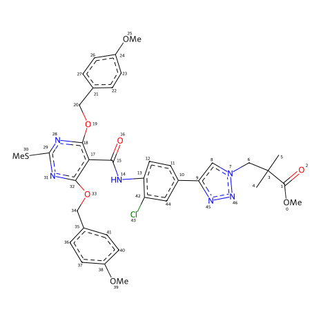 COC(=O)C(C)(C)Cn1cc(-c2ccc(NC(=O)c3c(OCc4ccc(OC)cc4)nc(SC)nc3OCc3ccc(OC)cc3)c(Cl)c2)nn1